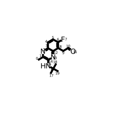 Cc1nc2ccc(F)c(CC=O)c2nc1NC(C)(C)C